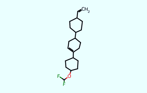 C=CC1CCC(C2CC=C(C3CCC(OC(F)F)CC3)CC2)CC1